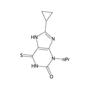 CCCn1c(=O)[nH]c(=S)c2[nH]c(C3CC3)nc21